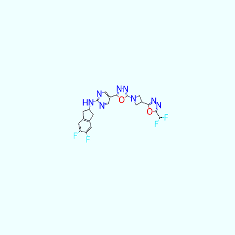 Fc1cc2c(cc1F)CC(Nc1ncc(-c3nnc(N4CC(c5nnc(C(F)F)o5)C4)o3)cn1)C2